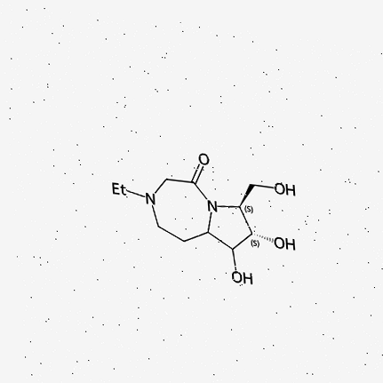 CCN1CCC2C(O)[C@@H](O)[C@H](CO)N2C(=O)C1